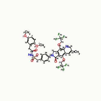 COc1ccc(OC)c(CC(=O)NS(=O)(=O)Cc2ccc(N3Cc4c(c(OCC(F)(F)F)c5cc(C)cnc5c4OCC(F)(F)F)C3=O)cc2)c1